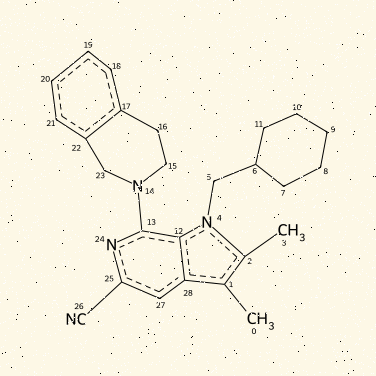 Cc1c(C)n(CC2CCCCC2)c2c(N3CCc4ccccc4C3)nc(C#N)cc12